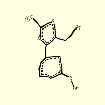 CCCOc1cccc(-c2nc(C)sc2CC(C)C)c1